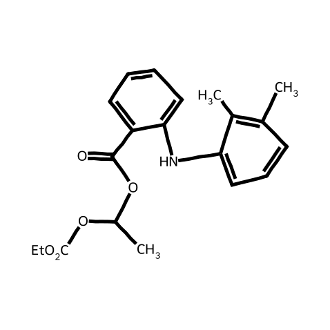 CCOC(=O)OC(C)OC(=O)c1ccccc1Nc1cccc(C)c1C